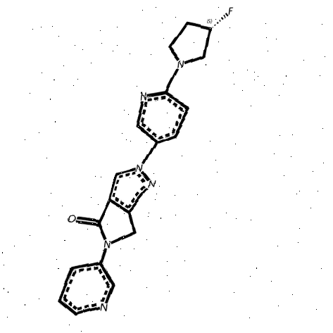 O=C1c2cn(-c3ccc(N4CC[C@H](F)C4)nc3)nc2CN1c1cccnc1